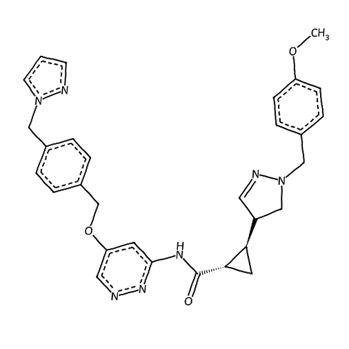 COc1ccc(CN2CC([C@H]3C[C@@H]3C(=O)Nc3cc(OCc4ccc(Cn5cccn5)cc4)cnn3)C=N2)cc1